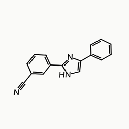 N#Cc1cccc(-c2nc(-c3ccccc3)c[nH]2)c1